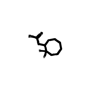 CC(C)C(=O)CC1CCCCCCC1(F)F